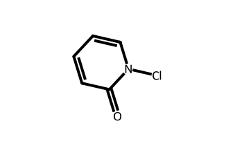 O=c1ccccn1Cl